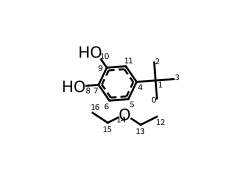 CC(C)(C)c1ccc(O)c(O)c1.CCOCC